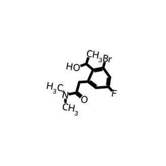 CC(O)c1c(Br)cc(F)cc1CC(=O)N(C)C